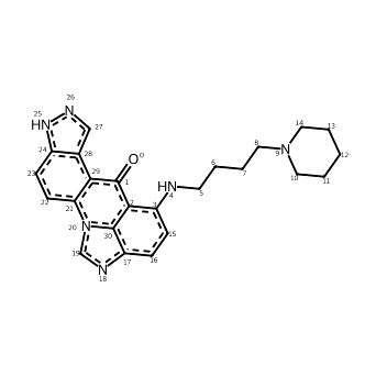 O=c1c2c(NCCCCN3CCCCC3)ccc3ncn(c4ccc5[nH]ncc5c14)c32